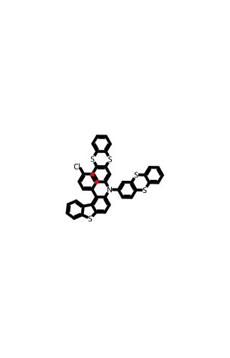 Clc1ccc(-c2c(N(c3ccc4c(c3)Sc3ccccc3S4)c3ccc4c(c3)Sc3ccccc3S4)ccc3sc4ccccc4c23)cc1